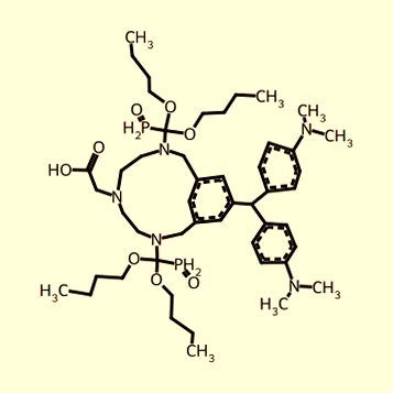 CCCCOC(OCCCC)([PH2]=O)N1CCN(CC(=O)O)CCN(C(OCCCC)(OCCCC)[PH2]=O)Cc2cc(cc(C(c3ccc(N(C)C)cc3)c3ccc(N(C)C)cc3)c2)C1